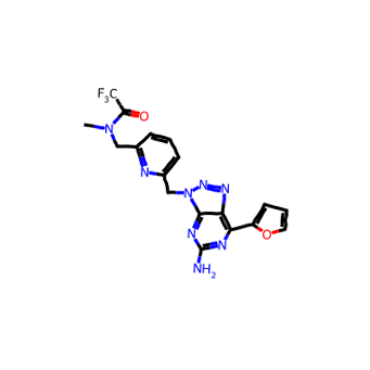 CN(Cc1cccc(Cn2nnc3c(-c4ccco4)nc(N)nc32)n1)C(=O)C(F)(F)F